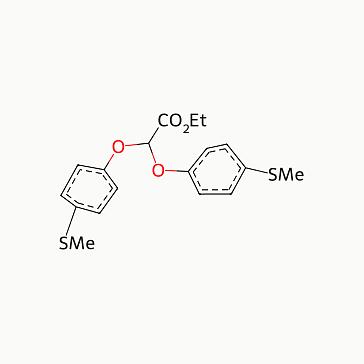 CCOC(=O)C(Oc1ccc(SC)cc1)Oc1ccc(SC)cc1